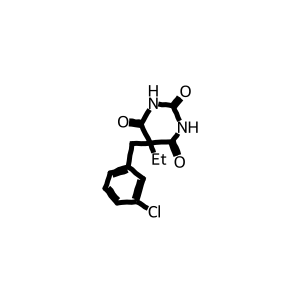 CCC1(Cc2cccc(Cl)c2)C(=O)NC(=O)NC1=O